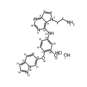 Cl.Cl.NCCn1ccc2ncnc(Nc3ccc(Oc4ccc5ccnn5c4)c(Cl)c3)c21